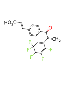 C=C(C(=O)c1ccc(C=CC(=O)O)cc1)C1=CC(F)(F)C(F)C(F)=C1F